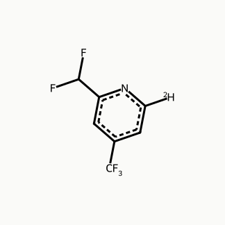 [2H]c1cc(C(F)(F)F)cc(C(F)F)n1